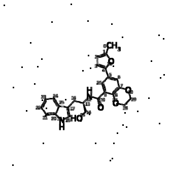 Cc1ccc(-c2cc3c(c(C(=O)N[C@@H](CO)Cc4c[nH]c5ccccc45)c2)OCCO3)o1